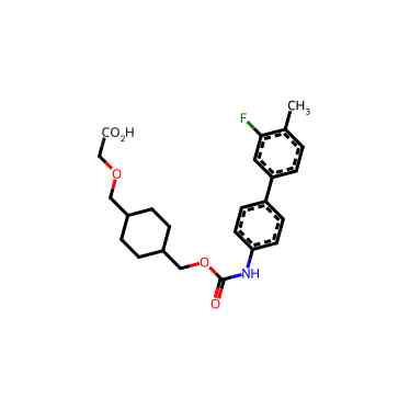 Cc1ccc(-c2ccc(NC(=O)OCC3CCC(COCC(=O)O)CC3)cc2)cc1F